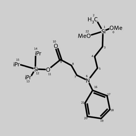 CO[Si](C)(CCCN(CCC(=O)O[Si](C(C)C)(C(C)C)C(C)C)c1ccccc1)OC